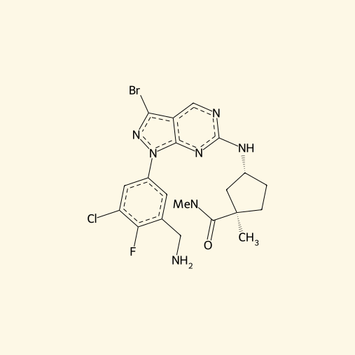 CNC(=O)[C@]1(C)CC[C@@H](Nc2ncc3c(Br)nn(-c4cc(Cl)c(F)c(CN)c4)c3n2)C1